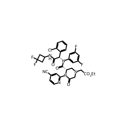 CCOC(=O)CN1CC(=O)N(c2cc(C#N)ccn2)[C@H](C(=O)N(c2cc(F)cc(F)c2)[C@H](C(=O)NC2CC(F)(F)C2)c2ccccc2Cl)C1